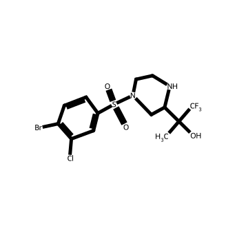 CC(O)(C1CN(S(=O)(=O)c2ccc(Br)c(Cl)c2)CCN1)C(F)(F)F